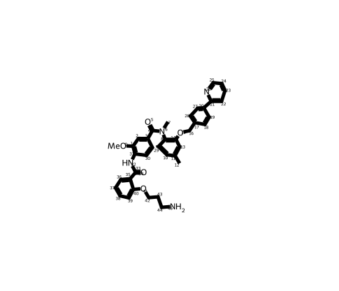 COc1cc(C(=O)N(C)c2ccc(C)cc2OCc2ccc(-c3ccccn3)cc2)ccc1NC(=O)c1ccccc1OCCCN